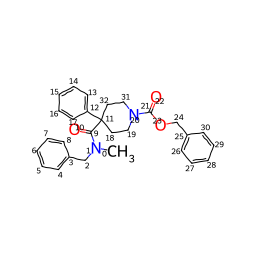 CN(Cc1ccccc1)C(=O)C1(c2ccccc2)CCN(C(=O)OCc2ccccc2)CC1